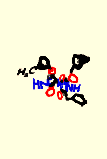 Cc1cccc(O[C@@H]2NC(=O)[C@H]2NC(=O)[C@H](CC2CCCCC2)NC(=O)OCc2ccccc2)c1